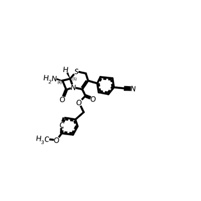 COc1ccc(COC(=O)C2=C(c3ccc(C#N)cc3)CS[C@H]3[C@H](N)C(=O)N23)cc1